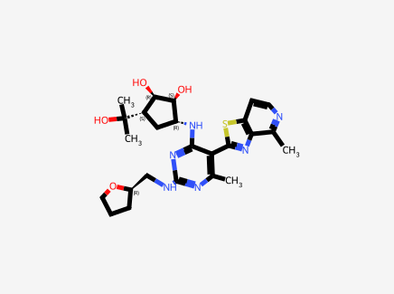 Cc1nc(NC[C@H]2CCCO2)nc(N[C@@H]2C[C@H](C(C)(C)O)[C@@H](O)[C@H]2O)c1-c1nc2c(C)nccc2s1